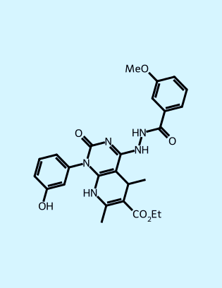 CCOC(=O)C1=C(C)Nc2c(c(NNC(=O)c3cccc(OC)c3)nc(=O)n2-c2cccc(O)c2)C1C